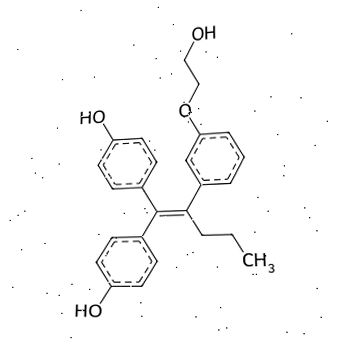 CCCC(=C(c1ccc(O)cc1)c1ccc(O)cc1)c1cccc(OCCO)c1